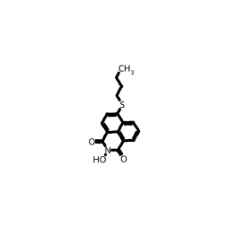 CCCCSc1ccc2c3c(cccc13)C(=O)N(O)C2=O